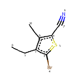 CCc1c(Br)sc(C#N)c1C